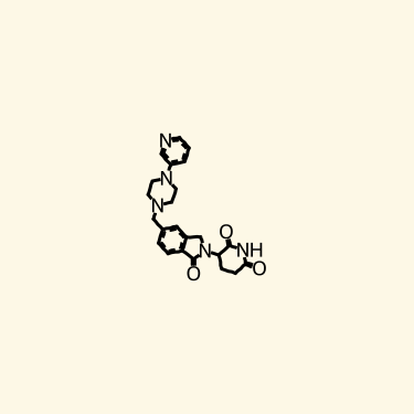 O=C1CCC(N2Cc3cc(CN4CCN(c5cccnc5)CC4)ccc3C2=O)C(=O)N1